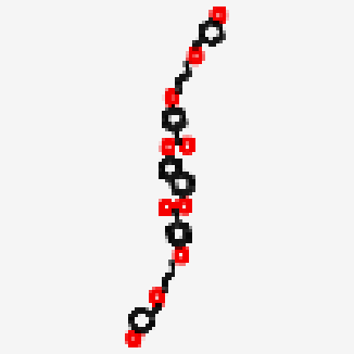 O=C(Oc1ccc2cc(OC(=O)c3ccc(OCCCCOCC4CCC5OC5C4)cc3)ccc2c1)c1ccc(OCCCCOCC2CCC3OC3C2)cc1